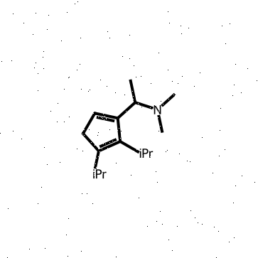 CC(C)C1=C(C(C)C)C(C(C)N(C)C)=CC1